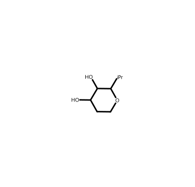 CC(C)C1OCCC(O)C1O